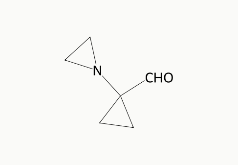 O=CC1(N2CC2)CC1